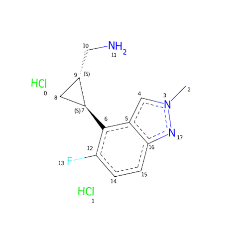 Cl.Cl.Cn1cc2c([C@H]3C[C@@H]3CN)c(F)ccc2n1